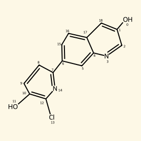 Oc1cnc2cc(-c3ccc(O)c(Cl)n3)ccc2c1